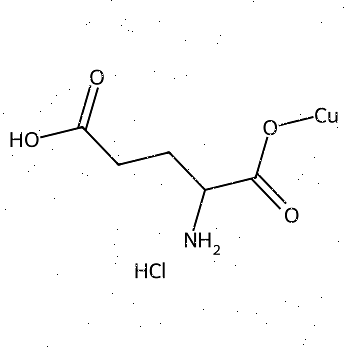 Cl.NC(CCC(=O)O)C(=O)[O][Cu]